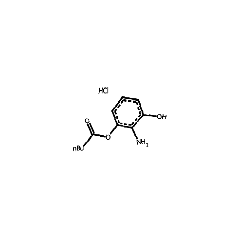 CCCCC(=O)Oc1cccc(O)c1N.Cl